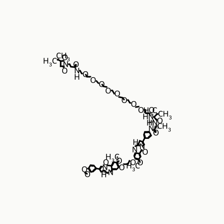 COc1cc2c(cc1OCCCOc1cc3c(cc1OC)C(=O)N1C=C(c4ccc5c(c4)OCO5)C[C@H]1C=N3)N=C[C@@H]1CC(c3ccc(NC(=O)[C@H](C)NC(=O)C(NC(=O)CCOCCOCCOCCOCCOCCOCCOCCOCCNC(=O)CCN4C(=O)CC(C(C)C)C4=O)C(C)C)cc3)=CN1C2=O